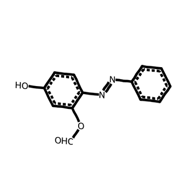 O=COc1cc(O)ccc1N=Nc1ccccc1